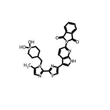 Cc1cnc(-c2nc(-c3c[nH]c4nc(N5C(=O)c6ccccc6C5=O)ccc34)cs2)n1CC1CCS(O)(O)CC1